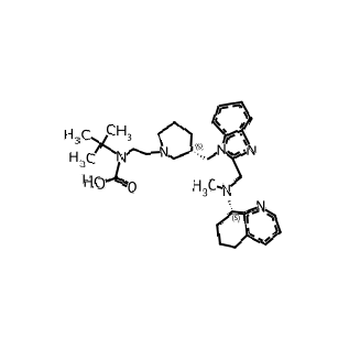 CN(Cc1nc2ccccc2n1C[C@H]1CCCN(CCN(C(=O)O)C(C)(C)C)C1)[C@H]1CCCc2cccnc21